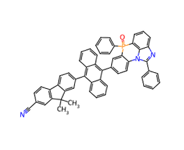 CC1(C)c2cc(C#N)ccc2-c2ccc(-c3c4ccccc4c(-c4ccc5c(c4)P(=O)(c4ccccc4)c4cccc6nc(-c7ccccc7)n-5c46)c4ccccc34)cc21